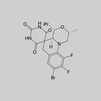 CC(C)[C@@H]1O[C@H](C)CN2c3c(cc(Br)c(F)c3F)CC3(C(=O)NC(=O)NC3=O)[C@@H]12